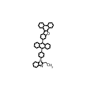 CCc1nc2ccccc2n1-c1ccc(-c2c3ccccc3c(-c3ccc4c(c3)oc3c5ccccc5c5ccccc5c43)c3ccccc23)cc1